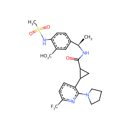 C[C@@H](NC(=O)C1CC1c1ccc(C(F)(F)F)nc1N1CCCC1)c1ccc(NS(C)(=O)=O)c(C(=O)O)c1